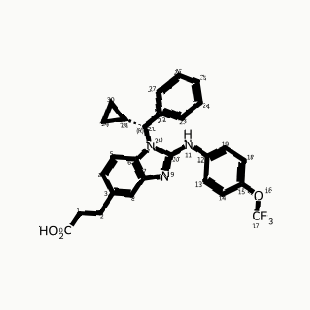 O=C(O)CCc1ccc2c(c1)nc(Nc1ccc(OC(F)(F)F)cc1)n2[C@@H](c1ccccc1)C1CC1